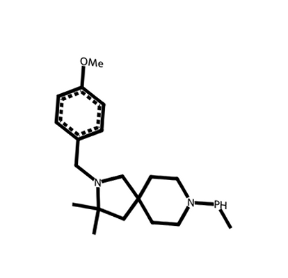 COc1ccc(CN2CC3(CCN(PC)CC3)CC2(C)C)cc1